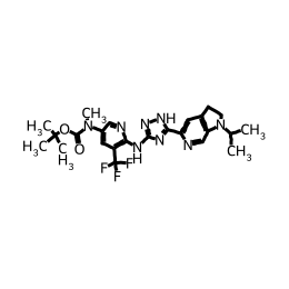 CC(C)N1CCc2cc(-c3nc(Nc4ncc(N(C)C(=O)OC(C)(C)C)cc4C(F)(F)F)n[nH]3)ncc21